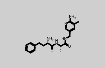 Cc1cc(CNC(=O)[C@H](C)NC(=O)[C@H](N)CCc2ccccc2)cnc1N